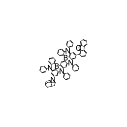 c1ccc(N2c3ccccc3B3c4cc5c(cc4N(c4ccccc4)c4cc(-c6cccc7c6oc6ccccc67)cc2c43)N(c2ccccc2)c2cc(N3C4CC6CC(C4)CC3C6)cc3c2B5c2ccccc2N3c2ccccc2)cc1